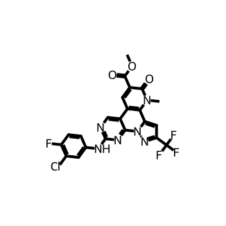 COC(=O)c1cc2c3cnc(Nc4ccc(F)c(Cl)c4)nc3n3nc(C(F)(F)F)cc3c2n(C)c1=O